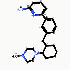 CN1CCN(C2CCCCC2Cc2cccc(-c3cccc(N)n3)c2)CC1